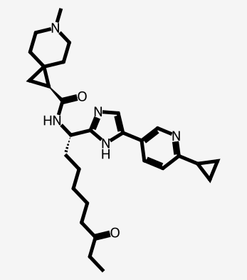 CCC(=O)CCCCC[C@H](NC(=O)[C@H]1CC12CCN(C)CC2)c1ncc(-c2ccc(C3CC3)nc2)[nH]1